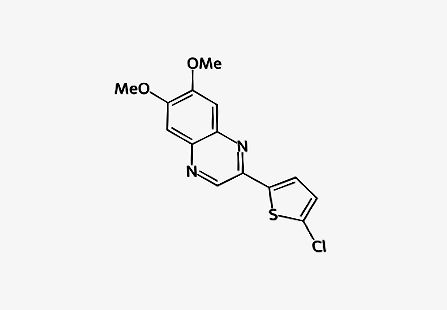 COc1cc2ncc(-c3ccc(Cl)s3)nc2cc1OC